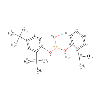 CC(C)(C)c1ccc(OP(OF)Oc2ccccc2C(C)(C)C)c(C(C)(C)C)c1